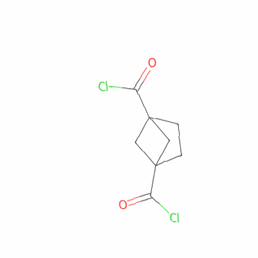 O=C(Cl)C12CCC(C(=O)Cl)(C1)C2